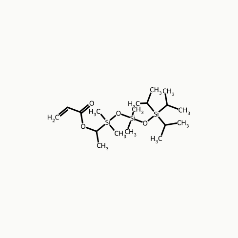 C=CC(=O)OC(C)[Si](C)(C)O[Si](C)(C)O[Si](C(C)C)(C(C)C)C(C)C